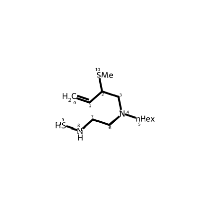 C=CC(CN(CCCCCC)CCNS)SC